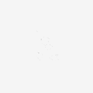 FC(F)(F)c1n[nH]c(-c2nc3ncc(CN4CCOCC4)cn3c2-c2c[nH]cn2)n1